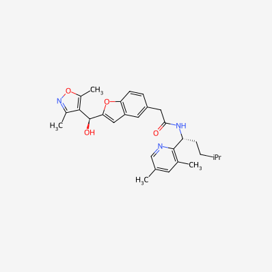 Cc1cnc([C@@H](CCC(C)C)NC(=O)Cc2ccc3oc([C@@H](O)c4c(C)noc4C)cc3c2)c(C)c1